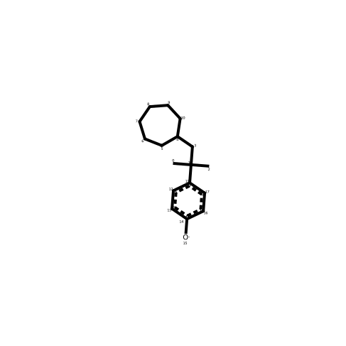 CC(C)(CC1CCCCCC1)c1ccc([O])cc1